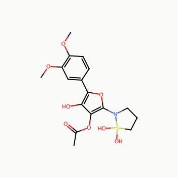 COc1ccc(-c2oc(N3CCCS3(O)O)c(OC(C)=O)c2O)cc1OC